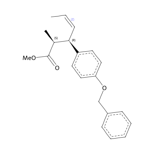 C/C=C\[C@@H](c1ccc(OCc2ccccc2)cc1)[C@H](C)C(=O)OC